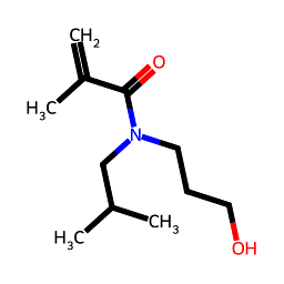 C=C(C)C(=O)N(CCCO)CC(C)C